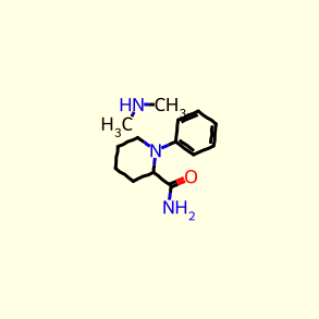 CNC.NC(=O)C1CCCCN1c1ccccc1